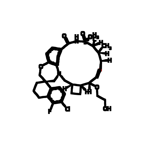 C[C@@H]1[C@@H](C)S(=O)(=O)NC(=O)c2ccc3c(c2)N(C[C@@H]2CC[C@H]2[C@@H](OCCO)C2=C[C@H]1C2)C[C@@]1(CCCc2c1ccc(Cl)c2F)CO3